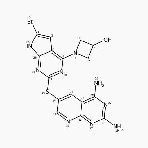 CCc1cc2c(N3CC(O)C3)nc(Sc3cnc4nc(N)nc(N)c4c3)nc2[nH]1